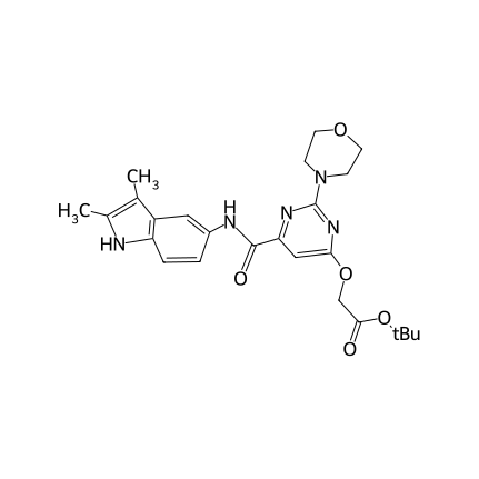 Cc1[nH]c2ccc(NC(=O)c3cc(OCC(=O)OC(C)(C)C)nc(N4CCOCC4)n3)cc2c1C